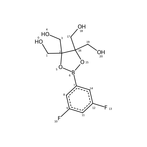 OCC1(CO)OB(c2cc(F)cc(F)c2)OC1(CO)CO